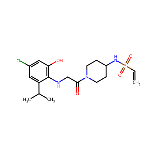 C=CS(=O)(=O)NC1CCN(C(=O)CNc2c(O)cc(Cl)cc2C(C)C)CC1